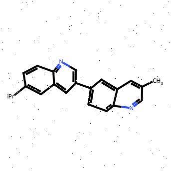 Cc1cnc2ccc(-c3cnc4ccc(C(C)C)cc4c3)cc2c1